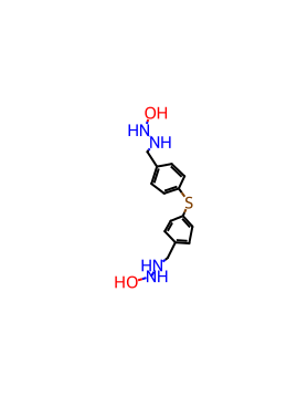 ONNCc1ccc(Sc2ccc(CNNO)cc2)cc1